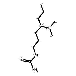 CCC[C@H](CCCNC(=N)N)N(C)C